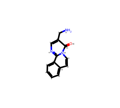 NCc1cnc2c3ccccc3ccn2c1=O